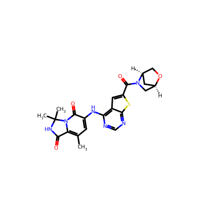 Cc1cc(Nc2ncnc3sc(C(=O)N4C[C@H]5C[C@@H]4CO5)cc23)c(=O)n2c1C(=O)NC2(C)C